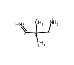 CC(C)(C=N)CN